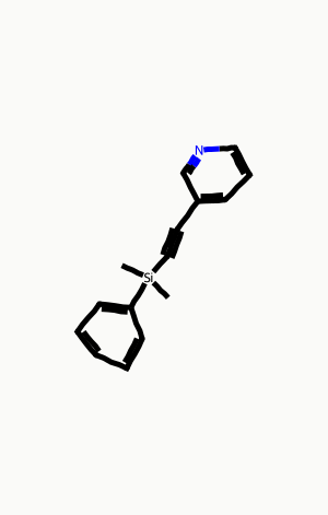 C[Si](C)(C#Cc1cccnc1)c1ccccc1